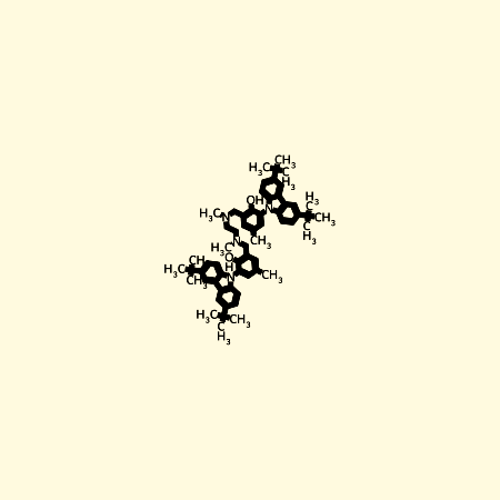 Cc1cc(CN(C)CCN(C)Cc2cc(C)cc(-n3c4ccc(C(C)(C)C)cc4c4cc(C(C)(C)C)ccc43)c2O)c(O)c(-n2c3ccc(C(C)(C)C)cc3c3cc(C(C)(C)C)ccc32)c1